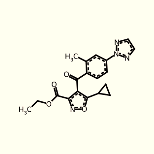 CCOC(=O)c1noc(C2CC2)c1C(=O)c1ccc(-n2nccn2)cc1C